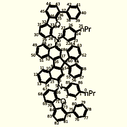 CCCc1ccc(N(c2cc3c(c4ccccc24)-c2c(cc(N(c4ccc(CCC)cc4)c4cccc5c4oc4c(-c6ccccc6)cccc45)c4ccccc24)C3(c2ccccc2)c2ccccc2)c2cccc3c2oc2c(-c4ccccc4)cccc23)cc1